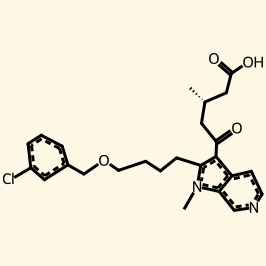 C[C@H](CC(=O)O)CC(=O)c1c(CCCCOCc2cccc(Cl)c2)n(C)c2cnccc12